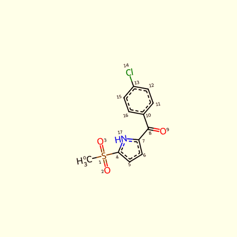 CS(=O)(=O)c1ccc(C(=O)c2ccc(Cl)cc2)[nH]1